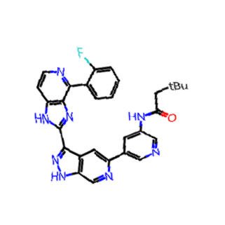 CC(C)(C)CC(=O)Nc1cncc(-c2cc3c(-c4nc5c(-c6ccccc6F)nccc5[nH]4)n[nH]c3cn2)c1